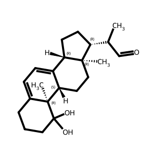 CC(C=O)[C@H]1CC[C@H]2C3=CC=C4CCCC(O)(O)[C@]4(C)[C@H]3CC[C@]12C